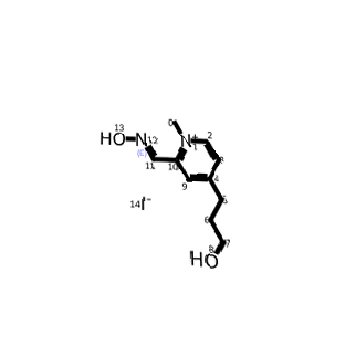 C[n+]1ccc(CCCO)cc1/C=N/O.[I-]